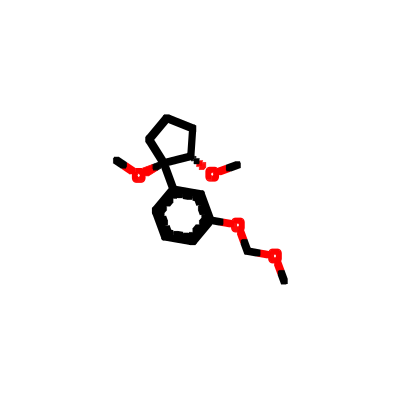 COCOc1cccc([C@]2(OC)CCC[C@@H]2OC)c1